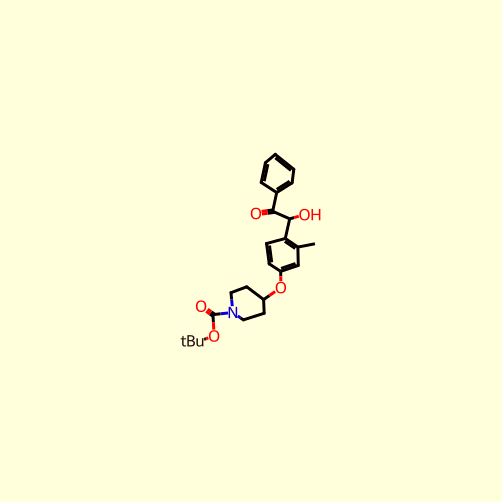 Cc1cc(OC2CCN(C(=O)OC(C)(C)C)CC2)ccc1C(O)C(=O)c1ccccc1